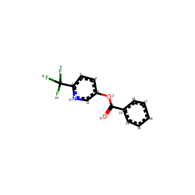 O=C(Oc1ccc(C(F)(F)F)nc1)c1ccccc1